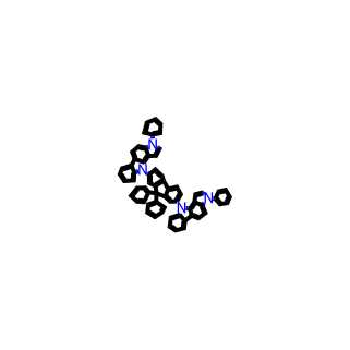 c1ccc(-n2ccc3c2ccc2c4ccccc4n(-c4ccc5c(c4)C(c4ccccc4)(c4ccccc4)c4cc(-n6c7ccccc7c7ccc8c(ccn8-c8ccccc8)c76)ccc4-5)c23)cc1